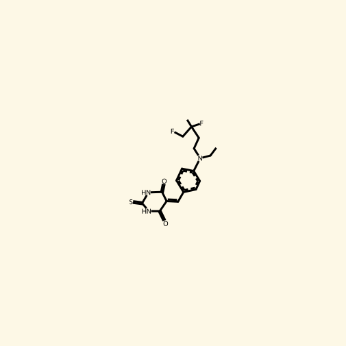 CCN(CCC(C)(F)CF)c1ccc(C=C2C(=O)NC(=S)NC2=O)cc1